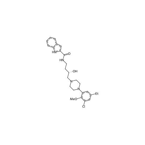 CCc1cc(Cl)c(OC)c(N2CCN(C[C@@H](O)CCNC(=O)c3cc4ccccc4[nH]3)CC2)c1